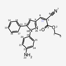 CCOC(=O)/C(C#N)=C\c1cc(-c2ccccc2)n(-c2ccc(N)cc2)n1